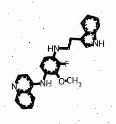 COc1c(Nc2ccnc3ccccc23)ccc(NCCc2c[nH]c3ccccc23)c1F